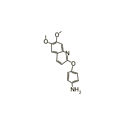 COc1cc2ccc(Oc3ccc(N)cc3)nc2cc1OC